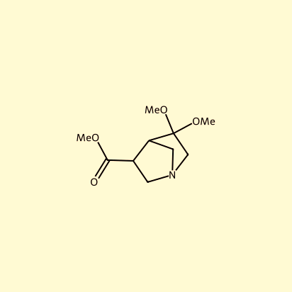 COC(=O)C1CN2CC1C(OC)(OC)C2